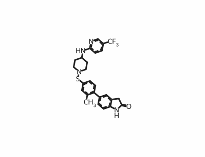 Cc1cc(SN2CCC(Nc3ccc(C(F)(F)F)cn3)CC2)ccc1-c1ccc2c(c1)CC(=O)N2